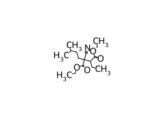 CCOC(=O)C(CC)C(C#N)(CCC(C)C)C(=O)OCC